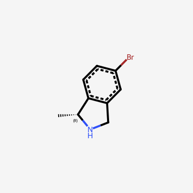 C[C@H]1NCc2cc(Br)ccc21